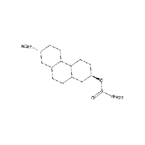 CCCCCCCC[C@@H]1CCC2C(CCC3C[C@H](OC(=O)CCCCCCC)CCC32)C1